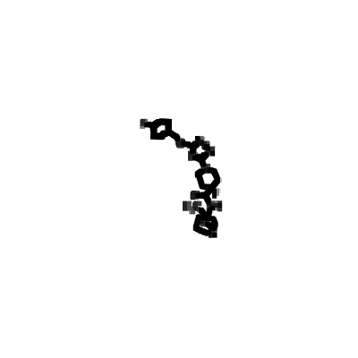 CC1(NC(=O)C2(F)CCN(c3ncnc(OCc4ccc(F)cc4)n3)CC2)CCN2CCC1CC2